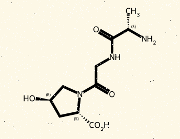 C[C@H](N)C(=O)NCC(=O)N1C[C@H](O)C[C@H]1C(=O)O